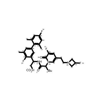 CCC(C)C(C(=O)NC(CC(=O)O)c1cc(-c2c(C)cc(F)cc2C)cc(C)c1F)n1cc(CCN2CC(F)C2)cc(F)c1=O